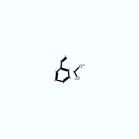 C=Cc1ccccc1.ClCCl